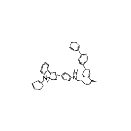 C=C(/C=C\CCNc1ccc(C2=CC3c4ccccc4N(C4=CC=CCC4)C3(C)C=C2)cc1)C1=CCC(c2ccc(C3=CCCC=C3)cc2)C=C1